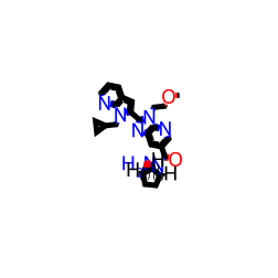 COCCn1c(-c2cc3cccnc3n2CC2CC2)nc2cc(C(=O)N3C[C@H]4CC[C@@H]3[C@@H]4N)cnc21